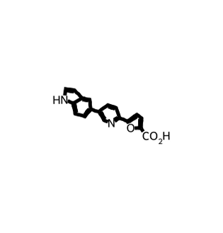 O=C(O)c1ccc(-c2ccc(-c3ccc4[nH]ccc4c3)cn2)o1